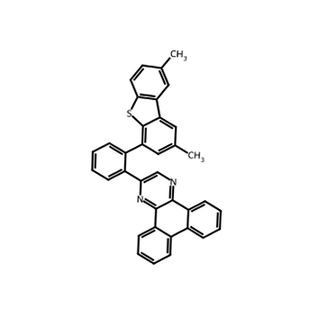 Cc1ccc2sc3c(-c4ccccc4-c4cnc5c6ccccc6c6ccccc6c5n4)cc(C)cc3c2c1